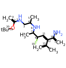 C=C(NCC(C)NC(C)C(F)/C=C(\C(=C)C)C(=C)N)OC(C)(C)C